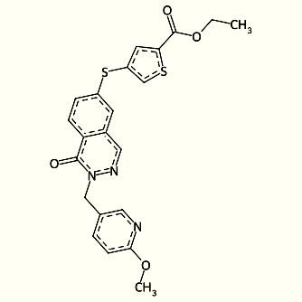 CCOC(=O)c1cc(Sc2ccc3c(=O)n(Cc4ccc(OC)nc4)ncc3c2)cs1